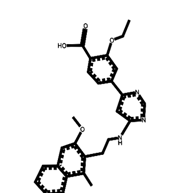 CCOc1cc(-c2cc(NCCc3c(OC)cc4ccccc4c3C)ncn2)ccc1C(=O)O